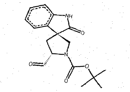 CC(C)(C)OC(=O)N1C[C@]2(C[C@H]1C=O)C(=O)Nc1ccccc12